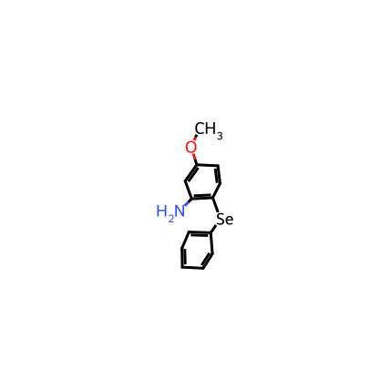 COc1ccc([Se]c2ccccc2)c(N)c1